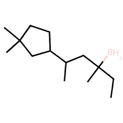 BC(C)(CC)CC(C)C1CCC(C)(C)C1